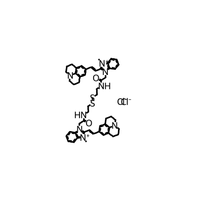 C[n+]1c(C=Cc2cc3c4c(c2)CCCN4CCC3)n(CC(=O)NCCSSCCNC(=O)Cn2c(C=Cc3cc4c5c(c3)CCCN5CCC4)[n+](C)c3ccccc32)c2ccccc21.[Cl-].[Cl-]